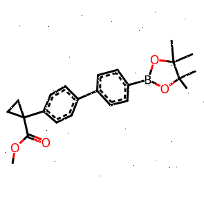 COC(=O)C1(c2ccc(-c3ccc(B4OC(C)(C)C(C)(C)O4)cc3)cc2)CC1